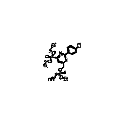 CCCS[P@@](=S)(OCC)OCc1cc(P(=O)(OSCC)OSCC)nc(-c2ccc(Cl)cc2)n1